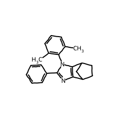 Cc1cccc(C)c1-n1c(-c2ccccc2)nc2c1C1CCC2C1